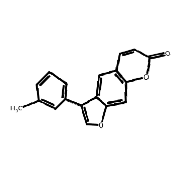 Cc1cccc(-c2coc3cc4oc(=O)ccc4cc23)c1